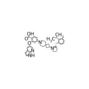 CC(C)c1ccccc1C[C@@H]1CCCN1C1CC2(CCN(c3ccc(C(=O)O)c(Oc4cnc5[nH]ccc5c4)c3)CC2)C1